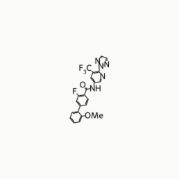 COc1ccccc1-c1ccc(C(=O)Nc2cnc(-n3nccn3)c(C(F)(F)F)c2)c(F)c1